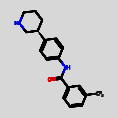 O=C(Nc1ccc([C@H]2CCCNC2)cc1)c1cccc(C(F)(F)F)c1